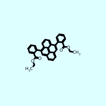 CCOC(=O)c1ccccc1-c1cc2cccc3cc(-c4ccccc4C(=O)OCC)c4cccc1c4c23